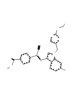 CCOc1ncc(Cn2cc(/C=C(\C#N)c3ccc(C(=O)OI)cc3)c3ccc(Cl)cc32)s1